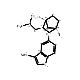 COc1csc2ccc([C@@H]3[C@@H]4CC[C@@H](C4)[C@@H]3CN(C)C)cc12